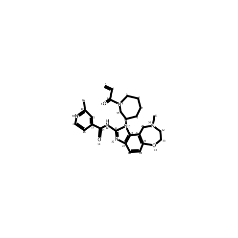 C=CC(=O)N1CCCC[C@@H](n2c(NC(=O)c3ccnc(C)c3)nc3ccc4c(c32)CN(C)CCO4)C1